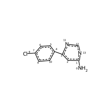 Nc1cc(-c2ccc(Cl)cc2)ncn1